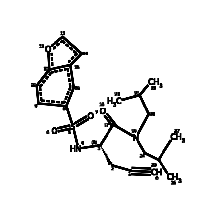 C#CC[C@H](NS(=O)(=O)c1ccc2occc2c1)C(=O)N(CC(C)C)CC(C)C